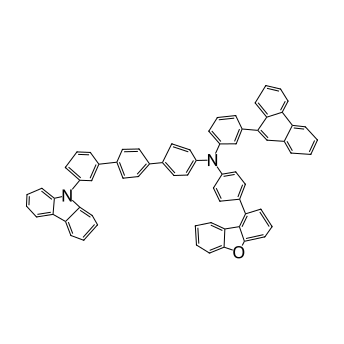 c1cc(-c2cc3ccccc3c3ccccc23)cc(N(c2ccc(-c3ccc(-c4cccc(-n5c6ccccc6c6ccccc65)c4)cc3)cc2)c2ccc(-c3cccc4oc5ccccc5c34)cc2)c1